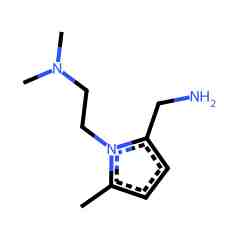 Cc1ccc(CN)n1CCN(C)C